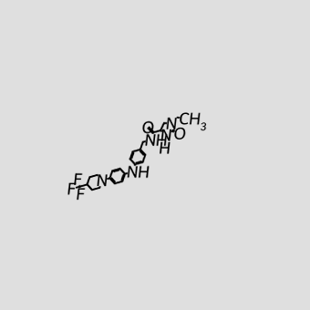 CCN1CC(C(=O)NCc2ccc(Nc3ccc(N4CCC(C(F)(F)F)CC4)cc3)cc2)NC1=O